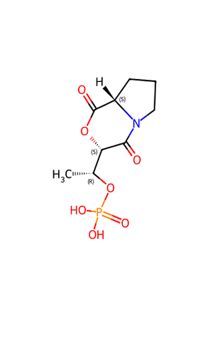 C[C@@H](OP(=O)(O)O)[C@@H]1OC(=O)[C@@H]2CCCN2C1=O